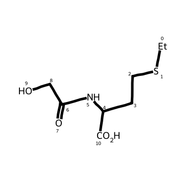 CCSCCC(NC(=O)CO)C(=O)O